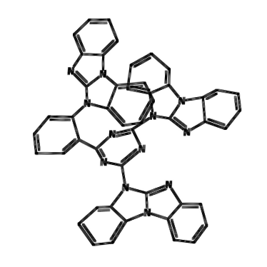 c1ccc(-n2c3ccccc3n3c4ccccc4nc23)c(-c2nc(-n3c4ccccc4n4c5ccccc5nc34)nc(-n3c4ccccc4n4c5ccccc5nc34)n2)c1